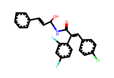 O=C(NC(O)/C=C/c1ccccc1)/C(=C/c1ccc(Cl)cc1)c1ccc(F)cc1F